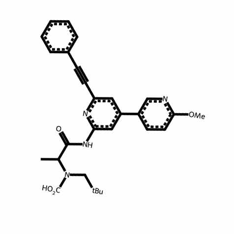 COc1ccc(-c2cc(C#Cc3ccccc3)nc(NC(=O)C(C)N(CC(C)(C)C)C(=O)O)c2)cn1